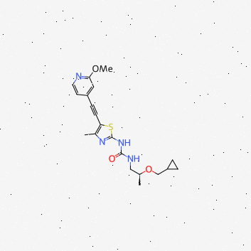 COc1cc(C#Cc2sc(NC(=O)NC[C@H](C)OCC3CC3)nc2C)ccn1